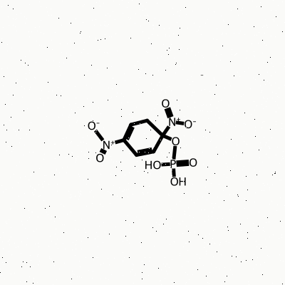 O=[N+]([O-])C1=CCC(OP(=O)(O)O)([N+](=O)[O-])C=C1